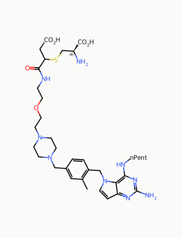 CCCCCNc1nc(N)nc2ccn(Cc3ccc(CN4CCN(CCOCCNC(=O)C(CC(=O)O)SC[C@H](N)C(=O)O)CC4)cc3C)c12